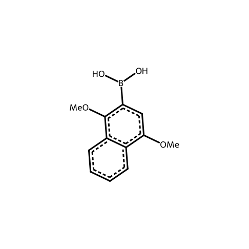 COc1cc(B(O)O)c(OC)c2ccccc12